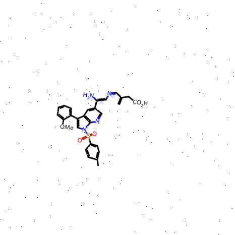 C=C(/C=N\C=C(/N)c1cnc2c(c1)c(-c1ccccc1OC)cn2S(=O)(=O)c1ccc(C)cc1)CC(=O)O